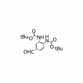 CC(C)(C)OC(=O)Nc1ccc(C=O)cc1NC(=O)OC(C)(C)C